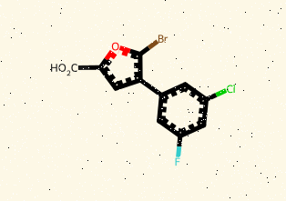 O=C(O)c1cc(-c2cc(F)cc(Cl)c2)c(Br)o1